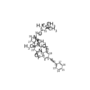 CN1C(=O)N(c2c(F)cc(C#Cc3ccccc3)cc2F)C(=O)C[C@@]1(C)c1ccn(COCC[Si](C)(C)C)n1